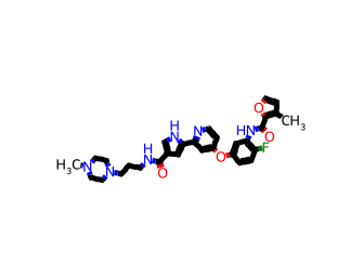 Cc1ccoc1C(=O)Nc1cc(Oc2ccnc(-c3cc(C(=O)NCCCN4CCN(C)CC4)c[nH]3)c2)ccc1F